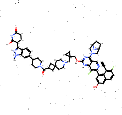 C#Cc1c(F)ccc2cc(O)cc(-c3ncc4c(N5CC6CCC(C5)N6)nc(OCC5(CN6CCC7(CC6)CC(C(=O)N6CCC(c8ccc9c(C%10CCC(=O)NC%10=O)nn(C)c9c8)CC6)C7)CC5)nc4c3F)c12